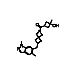 Cc1cc2cnn(C)c2cc1CC1CC2(C1)CN(C(=O)C1CC(C)(O)C1)C2